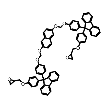 c1ccc2c(c1)-c1ccccc1C2(c1ccc(OCOc2ccc3cc(OCOc4ccc(C5(c6ccc(OCC7CO7)cc6)c6ccccc6-c6ccccc65)cc4)ccc3c2)cc1)c1ccc(OCC2CO2)cc1